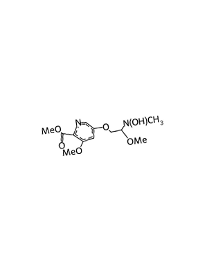 COC(=O)c1ncc(OCC(OC)N(C)O)cc1OC